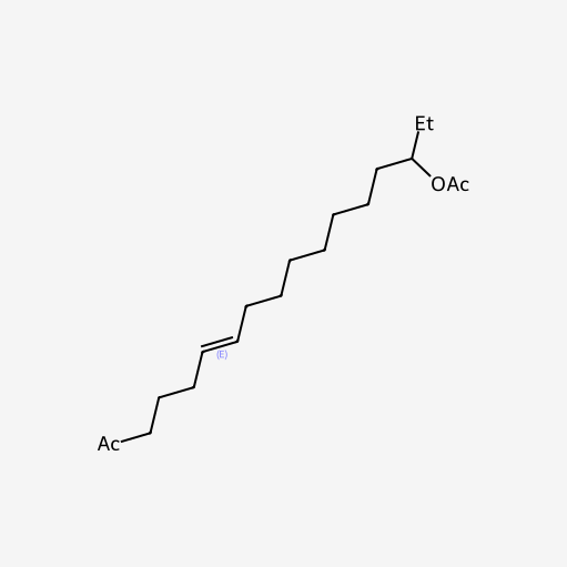 CCC(CCCCCCC/C=C/CCCC(C)=O)OC(C)=O